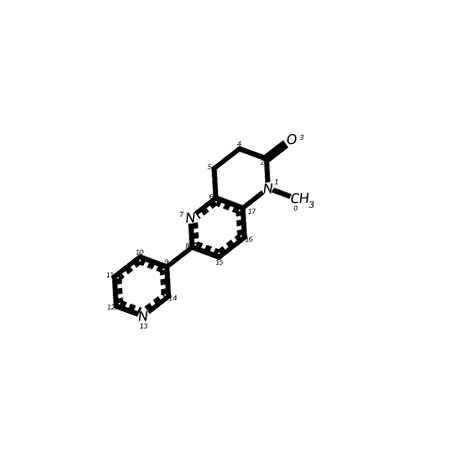 CN1C(=O)CCc2nc(-c3cccnc3)ccc21